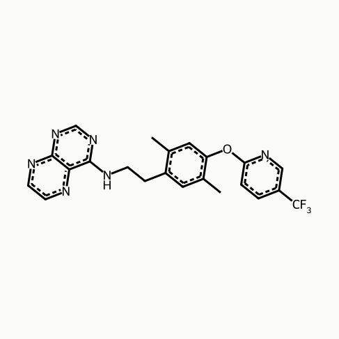 Cc1cc(Oc2ccc(C(F)(F)F)cn2)c(C)cc1CCNc1ncnc2nccnc12